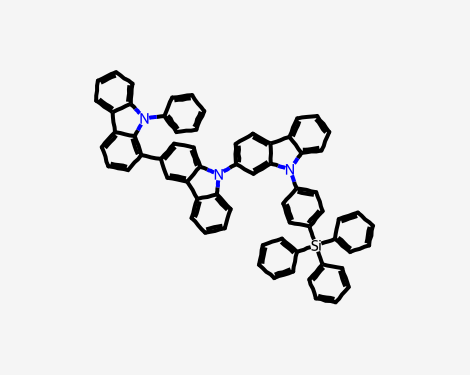 c1ccc(-n2c3ccccc3c3cccc(-c4ccc5c(c4)c4ccccc4n5-c4ccc5c6ccccc6n(-c6ccc([Si](c7ccccc7)(c7ccccc7)c7ccccc7)cc6)c5c4)c32)cc1